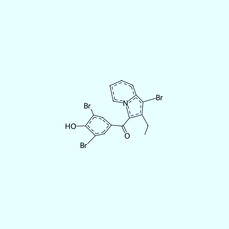 CCc1c(Br)c2ccccn2c1C(=O)c1cc(Br)c(O)c(Br)c1